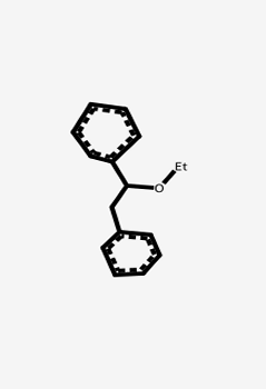 CCOC(Cc1ccccc1)c1ccccc1